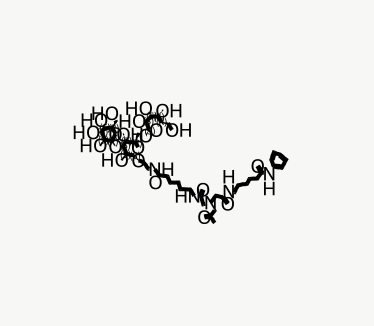 CC(=O)CN(CC(=O)NCCCCCC(=O)NCCO[C@H]1O[C@H](CO[C@H]2O[C@H](CO)[C@@H](O)[C@H](O)[C@@H]2O)[C@@H](O)[C@H](O[C@H]2O[C@H](CO)[C@@H](O)[C@H](O)[C@@H]2O)[C@@H]1O)CC(=O)NCCCCCC(=O)Nc1ccccc1